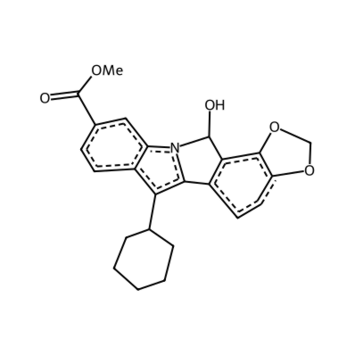 COC(=O)c1ccc2c(C3CCCCC3)c3n(c2c1)C(O)c1c-3ccc2c1OCO2